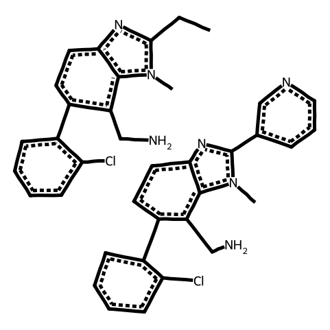 CCc1nc2ccc(-c3ccccc3Cl)c(CN)c2n1C.Cn1c(-c2cccnc2)nc2ccc(-c3ccccc3Cl)c(CN)c21